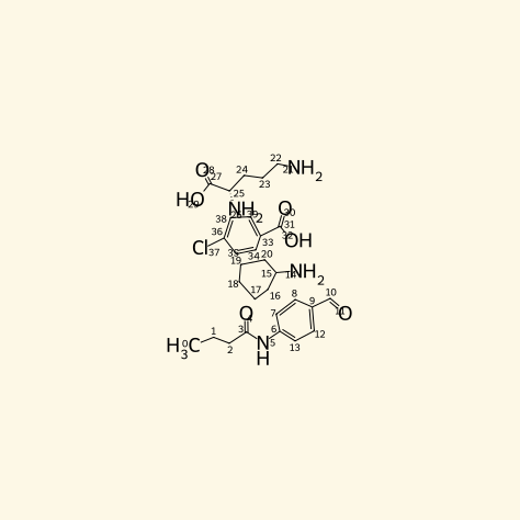 CCCC(=O)Nc1ccc(C=O)cc1.NC1CCCCC1.NCCC[C@H](N)C(=O)O.O=C(O)c1ccc(Cl)cc1